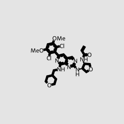 C=CC(=O)N[C@H]1COC[C@H]1Nc1ncc2cc(-c3c(Cl)c(OC)cc(OC)c3Cl)nc(NCC3CCOCC3)c2n1